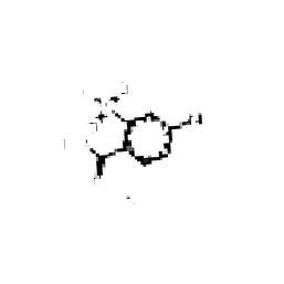 Nc1ccc(C(=O)O)c(S(=O)(=O)[O-])c1.[K+]